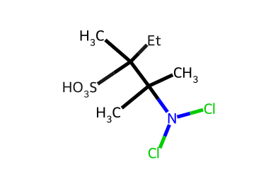 CCC(C)(C(C)(C)N(Cl)Cl)S(=O)(=O)O